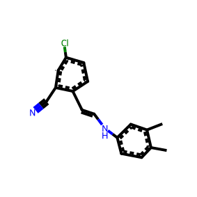 Cc1ccc(NC=Cc2ccc(Cl)[c]c2C#N)cc1C